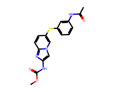 COC(=O)Nc1cn2cc(Sc3cccc(NC(C)=O)c3)ccc2n1